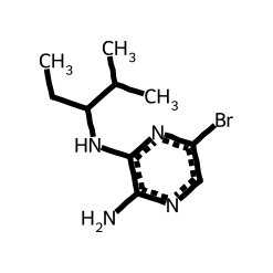 CCC(Nc1nc(Br)cnc1N)C(C)C